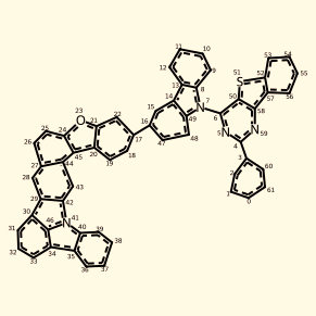 c1ccc(-c2nc(-n3c4ccccc4c4cc(-c5ccc6c(c5)oc5ccc7cc8c9cccc%10c%11ccccc%11n(c8cc7c56)c%109)ccc43)c3sc4ccccc4c3n2)cc1